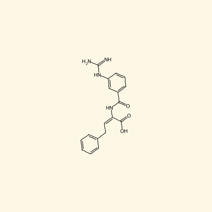 N=C(N)Nc1cccc(C(=O)NC(=CCc2ccccc2)C(=O)O)c1